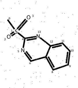 CS(=O)(=O)c1ncc2ccccc2n1